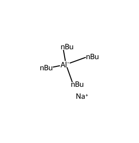 CCC[CH2][Al-]([CH2]CCC)([CH2]CCC)[CH2]CCC.[Na+]